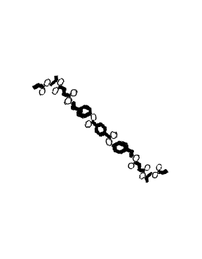 C=CC(=O)OCC(C)OC(=O)CCC(=O)OCCC1=CCC(OC(=O)C2CCC(C(=O)Oc3ccc(CCOC(=O)CCC(=O)OC(C)COC(=O)C=C)cc3)CC2)C=C1